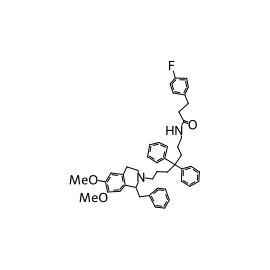 COc1cc2c(cc1OC)C(Cc1ccccc1)N(CCCC(CCCNC(=O)CCc1ccc(F)cc1)(c1ccccc1)c1ccccc1)CC2